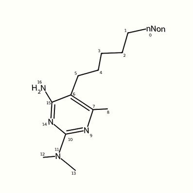 CCCCCCCCCCCCCCc1c(C)nc(N(C)C)nc1N